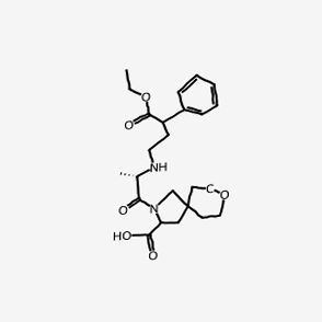 CCOC(=O)C(CCN[C@@H](C)C(=O)N1CC2(CCOCC2)CC1C(=O)O)c1ccccc1